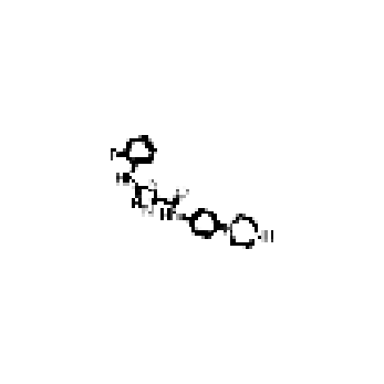 O=C(Nc1ccc(N2CCNCC2)cc1)c1nnc(Nc2ccccc2F)o1